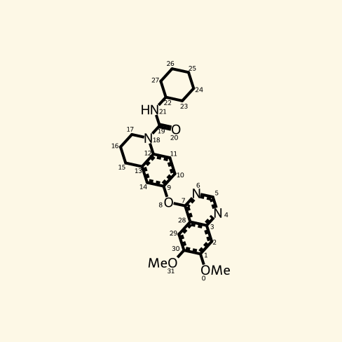 COc1cc2ncnc(Oc3ccc4c(c3)CCCN4C(=O)NC3CCCCC3)c2cc1OC